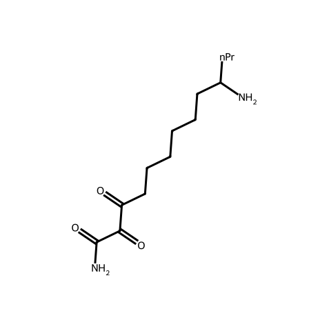 CCCC(N)CCCCCCC(=O)C(=O)C(N)=O